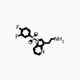 NCCc1cn(S(=O)(=O)c2ccc(F)c(F)c2)c2cccnc12